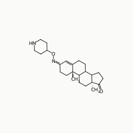 C[C@]12CCC3C(CCC4=C/C(=N\OC5CCNCC5)CC[C@]43C)C1CCC2=O